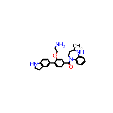 CC1CCN(C(=O)C2C=C(OCCN)C(c3ccc4c(c3)CCN4)=CC2)c2ccccc2N1